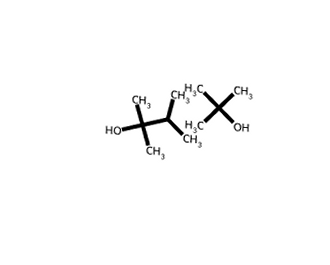 CC(C)(C)O.CC(C)C(C)(C)O